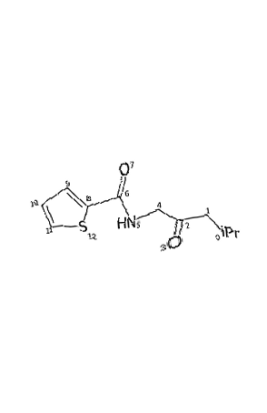 CC(C)CC(=O)CNC(=O)c1cccs1